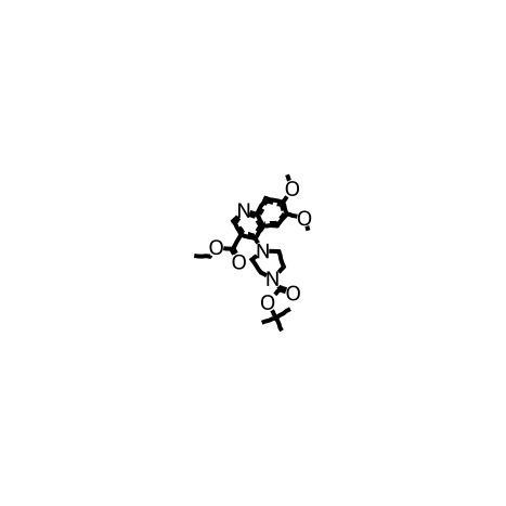 CCOC(=O)c1cnc2cc(OC)c(OC)cc2c1N1CCN(C(=O)OC(C)(C)C)CC1